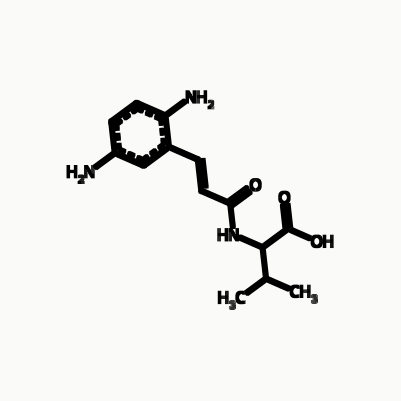 CC(C)C(NC(=O)C=Cc1cc(N)ccc1N)C(=O)O